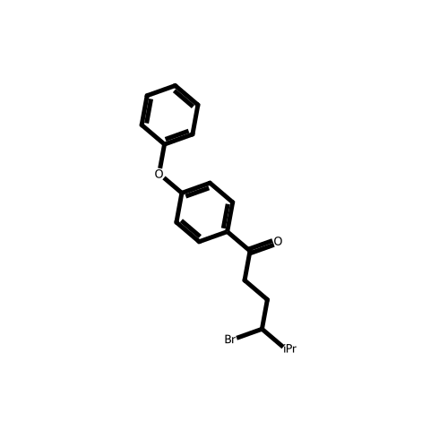 CC(C)C(Br)CCC(=O)c1ccc(Oc2ccccc2)cc1